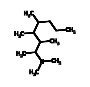 CCCC(C)C(C)C(C)C(C)N(C)C